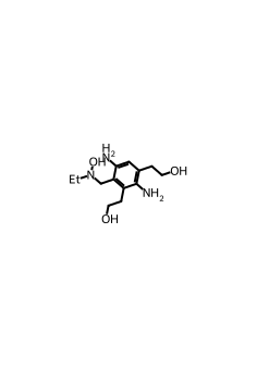 CCN(O)Cc1c(N)cc(CCO)c(N)c1CCO